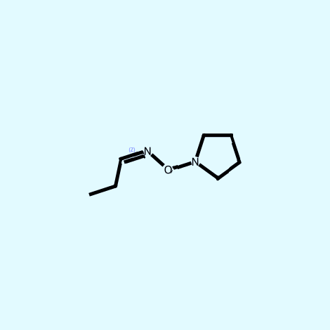 CC/C=N\ON1CCCC1